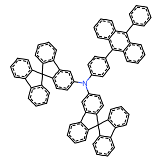 c1ccc(-c2c3ccccc3c(-c3ccc(N(c4ccc5c(c4)-c4ccccc4C54c5ccccc5-c5ccccc54)c4ccc5c(c4)-c4ccccc4C54c5ccccc5-c5ccccc54)cc3)c3ccccc23)cc1